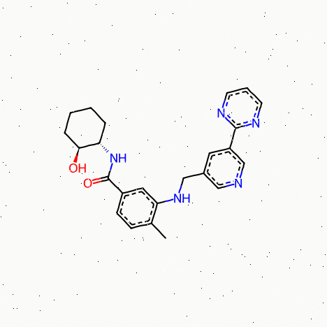 Cc1ccc(C(=O)N[C@H]2CCCC[C@@H]2O)cc1NCc1cncc(-c2ncccn2)c1